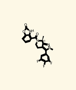 C[C@H]1c2nn(C)c(-c3cc(F)c(F)c(F)c3)c2CCN1C(=O)c1cccc2oc(=O)[nH]c12